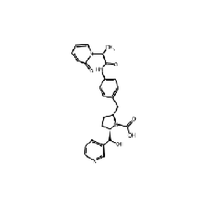 C[C@@H](C(=O)Nc1ccc(C[C@@H]2CC[C@H](C(O)c3cccnc3)N2C(=O)O)cc1)n1ccccc1=O